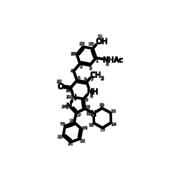 CC(=O)Nc1cc(Cc2c(C)[nH]c3c(N4CCCCC4)c(-c4ccccc4)nn3c2=O)ccc1O